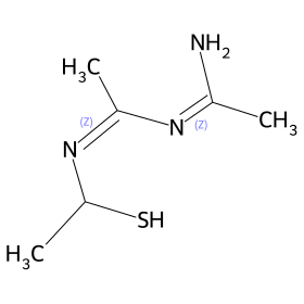 C/C(N)=N/C(C)=N\C(C)S